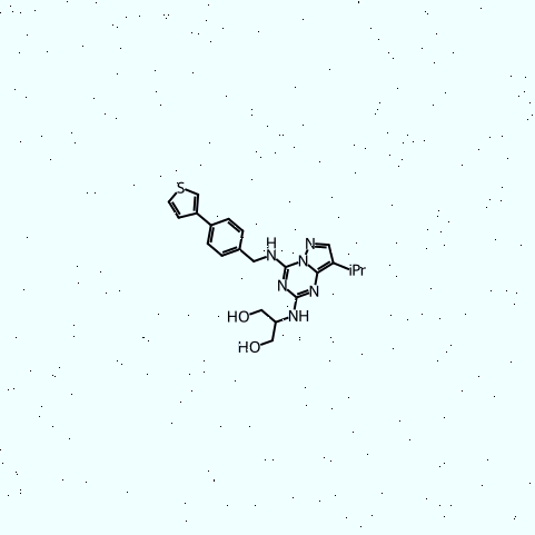 CC(C)c1cnn2c(NCc3ccc(-c4ccsc4)cc3)nc(NC(CO)CO)nc12